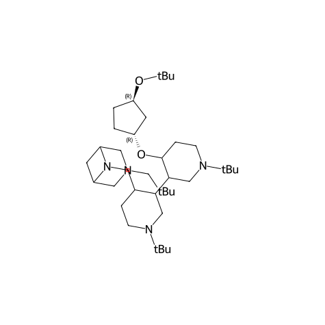 CC(C)(C)CN1CC2CC(C1)N2CC1CCN(C(C)(C)C)CC1C1CN(C(C)(C)C)CCC1O[C@@H]1CC[C@@H](OC(C)(C)C)C1